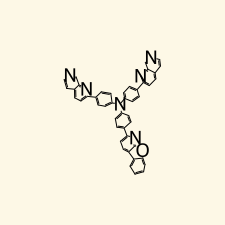 c1ccc2c(c1)oc1nc(-c3ccc(N(c4ccc(-c5ccc6ccncc6n5)cc4)c4ccc(-c5ccc6ccncc6n5)cc4)cc3)ccc12